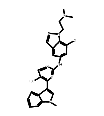 CN(C)CCn1ncc2cc(Nc3ncc(C(F)(F)F)c(-c4cn(C)c5ccccc45)n3)cc(Cl)c21